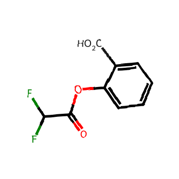 O=C(O)c1ccccc1OC(=O)C(F)F